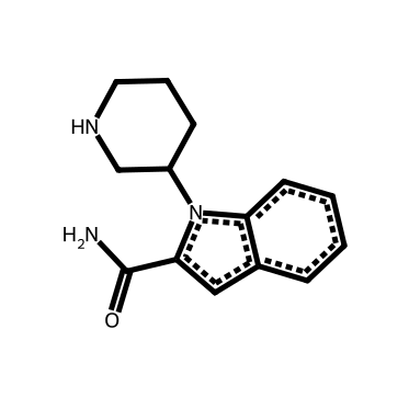 NC(=O)c1cc2ccccc2n1C1CCCNC1